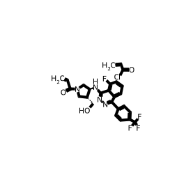 C=CC(=O)Cl.C=CC(=O)N1C[C@@H](CO)[C@H](Nc2nnc(-c3ccc(C(F)(F)F)cc3)c3cccc(F)c23)C1